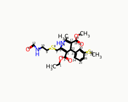 CCOC(=O)C1=C(CSCCNC=O)NC(C)=C(C(=O)OC)C1c1cccc(SC)c1